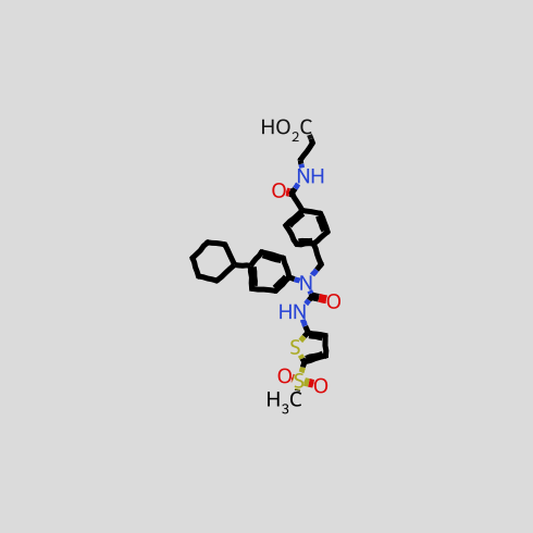 CS(=O)(=O)c1ccc(NC(=O)N(Cc2ccc(C(=O)NCCC(=O)O)cc2)c2ccc(C3CCCCC3)cc2)s1